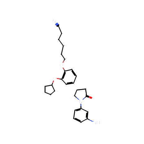 N#CCCCCCOc1ccc([C@@H]2CC(=O)N(c3cccc(N)c3)C2)cc1OC1CCCC1